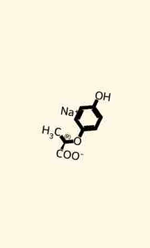 C[C@@H](Oc1ccc(O)cc1)C(=O)[O-].[Na+]